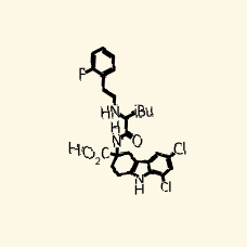 CCC(C)C(NCCc1ccccc1F)C(=O)NC1(C(=O)O)CCc2[nH]c3c(Cl)cc(Cl)cc3c2C1